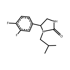 C[C](C)CN1C(=O)NCC1c1ccc(F)c(F)c1